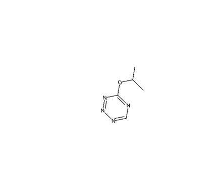 CC(C)Oc1ncnnn1